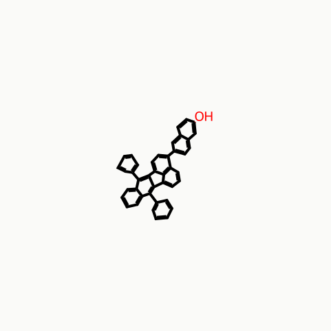 Oc1ccc2cc(-c3ccc4c5c(cccc35)-c3c-4c(-c4ccccc4)c4ccccc4c3-c3ccccc3)ccc2c1